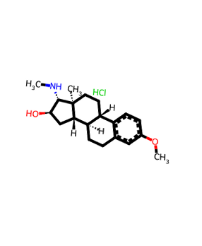 CN[C@H]1[C@H](O)C[C@H]2[C@@H]3CCc4cc(OC)ccc4[C@H]3CC[C@@]21C.Cl